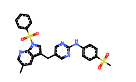 Cc1cnc2c(c1)c(Cc1cnc(Nc3ccc(S(C)(=O)=O)cc3)nc1)cn2S(=O)(=O)c1ccccc1